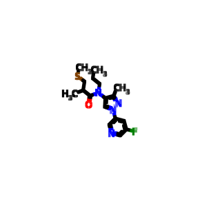 CCCN(C(=O)C(C)CSC)c1cn(-c2cncc(F)c2)nc1C